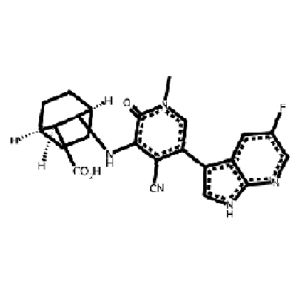 Cn1cc(-c2c[nH]c3ncc(F)cc23)c(C#N)c(NC2[C@H]3CC[C@H](CC3)[C@@H]2C(=O)O)c1=O